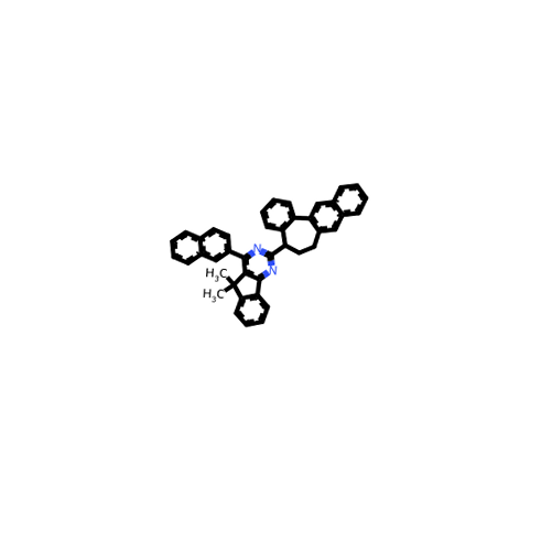 CC1(C)c2ccccc2-c2nc(C3CCc4cc5ccccc5cc4-c4ccccc43)nc(-c3ccc4ccccc4c3)c21